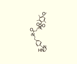 COc1cc(C)c(S(=O)(=O)N(C)CCC(=O)N(C)CCc2ccc(C3=NCCN3)cc2)c(C)c1C